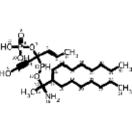 CC=CC(C#CO)(OP(=O)(O)O)POC(C)(N)C(CCCCCCC)CCCCCCCC